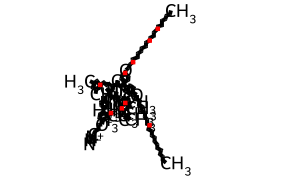 CCCCCCCCCCCCCCCCCCCCCCOc1ccc(C(NC(=O)[C@H](CCCc2cc(C)cc(C)c2)NC(=O)[C@H](Cc2ccc(-c3ccc(OCCCCN=[N+]=[N-])cc3CC)cc2)NC(=O)[C@H](CC(=O)OC(C)(C)C)NC(=O)[C@@H](N)COC(C)(C)C)c2ccc(OCCCCCCCCCCCCCCCCCCCCCC)cc2)cc1